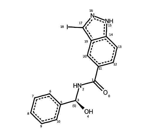 O=C(N[C@@H](O)c1ccccc1)c1ccc2[nH]nc(I)c2c1